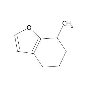 CC1CCCc2ccoc21